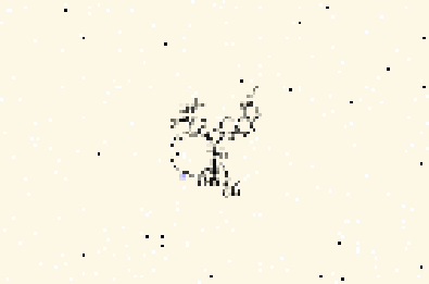 COc1ccc2nc(C)c3c(c2n1)CC[C@]1(C[C@H]2C(=O)N[C@]4(C(=O)NS(=O)(=O)C5(C)CC5)C[C@H]4/C=C\CCCCC[C@H](N(CC(C)(C)C)C(=O)O)C(=O)N2C1)O3